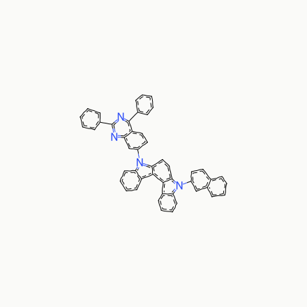 c1ccc(-c2nc(-c3ccccc3)c3ccc(-n4c5ccccc5c5c6c7ccccc7n(-c7ccc8ccccc8c7)c6ccc54)cc3n2)cc1